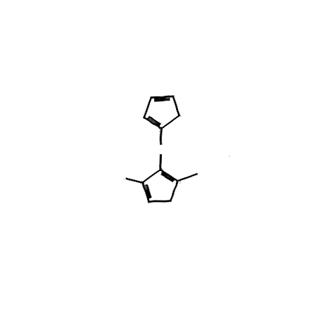 CCCCC1=CCC(C)=[C]1[Hf+2][C]1=CC=CC1.[Cl-].[Cl-]